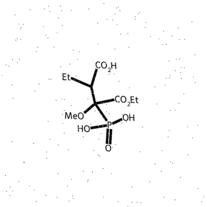 CCOC(=O)C(OC)(C(CC)C(=O)O)P(=O)(O)O